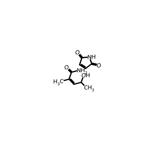 CC(=CC(C)O)C(N)=O.O=C1C=CC(=O)N1